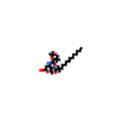 CCCCCC/C=C/CCCCC(C)(C)C(=O)NC(CC)C(CC(=O)O)NC(=O)C1OC(C)(C)OCC1(C)C